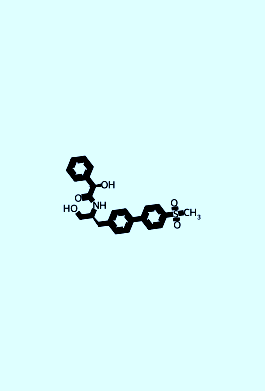 CS(=O)(=O)c1ccc(-c2ccc(C[C@@H](CO)NC(=O)[C@H](O)c3ccccc3)cc2)cc1